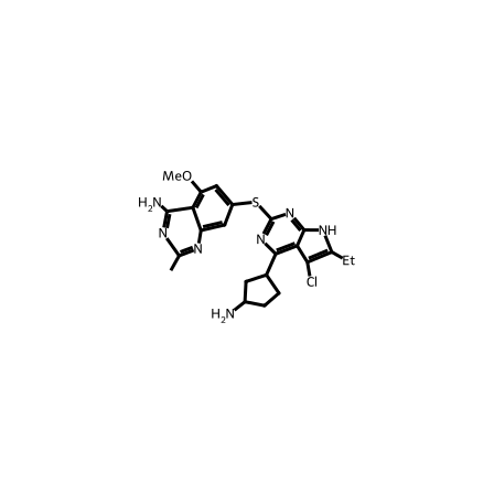 CCc1[nH]c2nc(Sc3cc(OC)c4c(N)nc(C)nc4c3)nc(C3CCC(N)C3)c2c1Cl